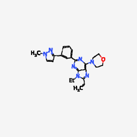 C=Cc1nc2c(N3CCOCC3)nc(-c3cccc(-c4ccn(C)n4)c3)nc2n1CC